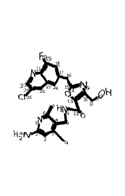 Cc1cc(N)nc(C)c1CNC(=O)c1oc(Cc2cc(F)c3ncc(Cl)cc3c2)nc1CO